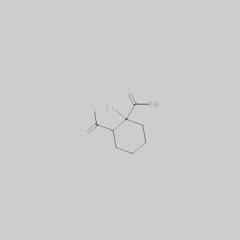 [CH2]CC1(C(N)=O)CCCCC1C(N)=O